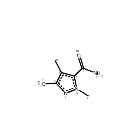 Cc1c(C(F)(F)F)nn(C)c1C(N)=O